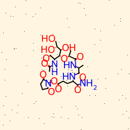 CC(=O)N[C@@H](C=O)[C@@H](OC(C)C(=O)NC(C)C(=O)NC(CCC(=O)ON1C(=O)CCC1=O)C(N)=O)[C@H](O)[C@H](O)CO